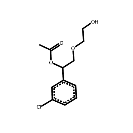 CC(=O)OC(COCCO)c1cccc(Cl)c1